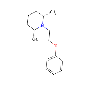 C[C@@H]1CCC[C@H](C)N1CCOc1ccccc1